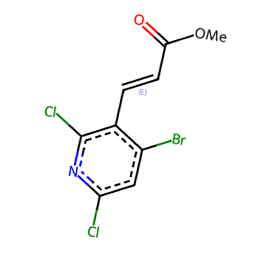 COC(=O)/C=C/c1c(Br)cc(Cl)nc1Cl